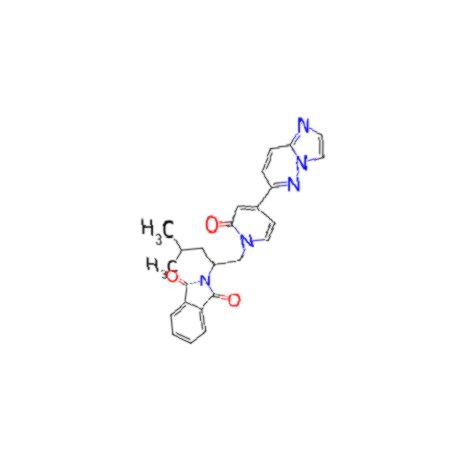 CC(C)CC(Cn1ccc(-c2ccc3nccn3n2)cc1=O)N1C(=O)c2ccccc2C1=O